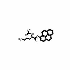 CCCC(=O)N[C@H](CCCN)C(=O)Oc1ccc2ccc3cccc4ccc1c2c34